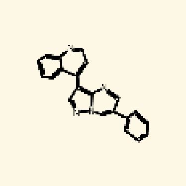 c1ccc(-c2cnc3c(-c4ccnc5ccccc45)cnn3c2)cc1